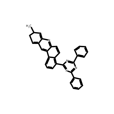 CC1C=c2nc3ccc4c(-c5nc(-c6ccccc6)nc(-c6ccccc6)n5)cccc4c3cc2=CC1